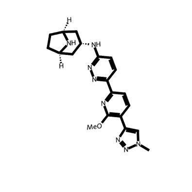 COc1nc(-c2ccc(N[C@@H]3C[C@H]4CC[C@@H](C3)N4)nn2)ccc1-c1cn(C)nn1